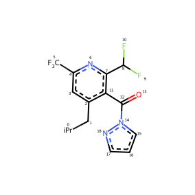 CC(C)Cc1cc(C(F)(F)F)nc(C(F)F)c1C(=O)n1cccn1